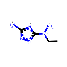 CCN(N)c1nc(N)n[nH]1